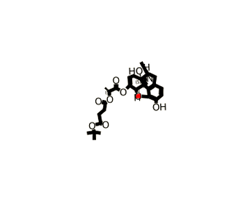 C[C@H](OC(=O)CCC(=O)OC(C)(C)C)C(=O)OC1=CC[C@@]2(O)[C@H]3Cc4ccc(O)c5c4[C@@]2(CCN3C)[C@H]1O5